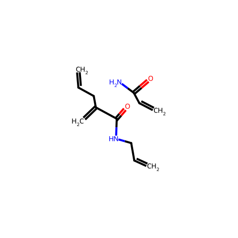 C=CC(N)=O.C=CCNC(=O)C(=C)CC=C